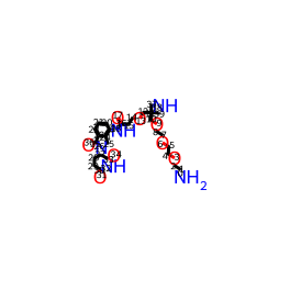 NCCOCCOCCOCC1(COCCC(=O)Nc2cccc3c2CN(C2CCC(=O)NC2=O)C3=O)CNC1